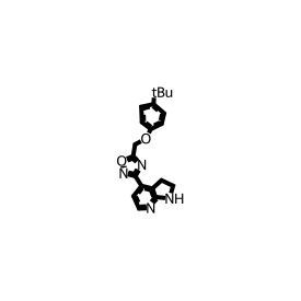 CC(C)(C)c1ccc(OCc2nc(-c3ccnc4c3CCN4)no2)cc1